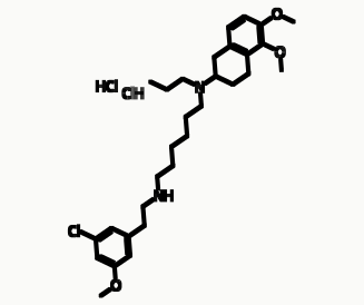 CCCN(CCCCCCNCCc1cc(Cl)cc(OC)c1)C1CCc2c(ccc(OC)c2OC)C1.Cl.Cl